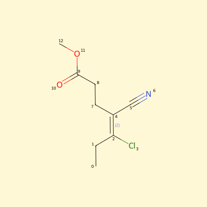 CC/C(Cl)=C(/C#N)CCC(=O)OC